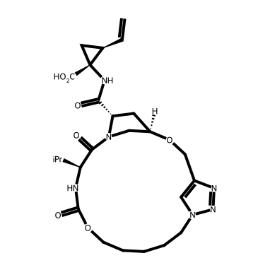 C=C[C@@H]1C[C@]1(NC(=O)[C@@H]1C[C@@H]2CN1C(=O)[C@H](C(C)C)NC(=O)OCCCCCn1cc(nn1)CO2)C(=O)O